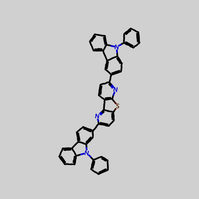 c1ccc(-n2c3ccccc3c3cc(-c4ccc5c(n4)sc4ccc(-c6ccc7c8ccccc8n(-c8ccccc8)c7c6)nc45)ccc32)cc1